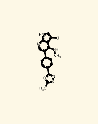 CNc1c(-c2ccc(-c3nnc(C)o3)cc2)cnc2[nH]cc(Cl)c12